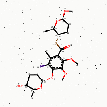 COc1c(O[C@H]2CC[C@@H](O)[C@H](C)O2)c(I)c(C)c(C(=O)S[C@H]2CC[C@H](OC)O[C@@H]2C)c1OC